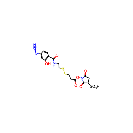 [N-]=[N+]=Nc1ccc(C(=O)NCCSSCCC(=O)ON2C(=O)CC(S(=O)(=O)O)C2=O)c(O)c1